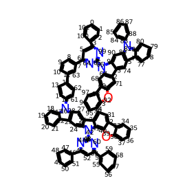 c1ccc(-c2cc(-c3cccc(-c4ccc(-n5c6ccccc6c6cc7c(cc65)c5ccc6c8ccccc8oc6c5n7-c5nc(-c6ccccc6)cc(-c6ccccc6)n5)cc4)c3)nc(-n3c4cc5c(cc4c4cc6c7ccccc7n(-c7ccccc7)c6cc43)oc3ccccc35)n2)cc1